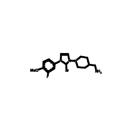 COc1ccc(N2C=CN(N3CCC(CN)CC3)C2Br)cc1F